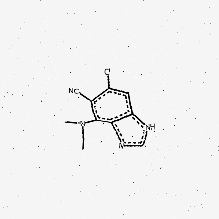 CN(C)c1c(C#N)c(Cl)cc2[nH][c]nc12